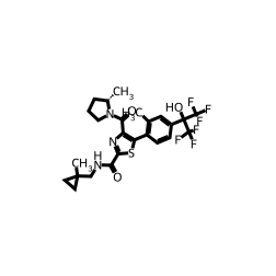 Cc1cc(C(O)(C(F)(F)F)C(F)(F)F)ccc1-c1sc(C(=O)NCC2(C)CC2)nc1C(=O)N1CCC[C@@H]1C